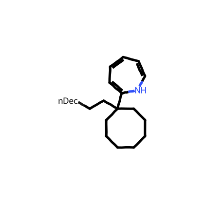 CCCCCCCCCCCCC1(C2=CC=CC=CN2)CCCCCCC1